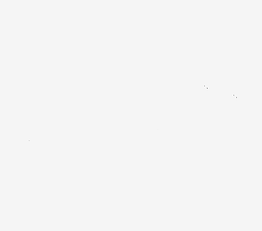 CCCCCCCCCCCCCCCCCc1c[nH]cn1